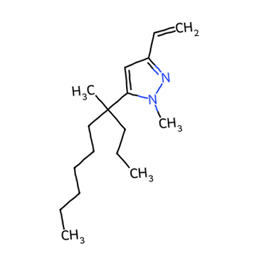 C=Cc1cc(C(C)(CCC)CCCCCC)n(C)n1